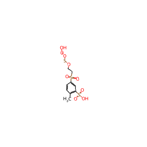 Cc1ccc(S(=O)(=O)CCOSOOO)cc1S(=O)(=O)O